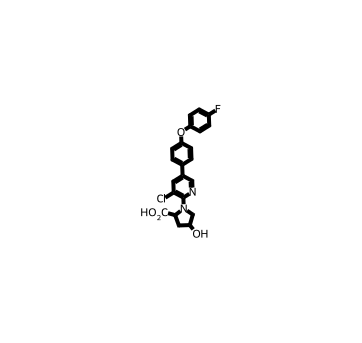 O=C(O)C1CC(O)CN1c1ncc(-c2ccc(Oc3ccc(F)cc3)cc2)cc1Cl